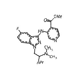 CCCC(Cn1nc(Nc2cnccc2C(=O)OC)c2cc(F)ccc21)N(C)C